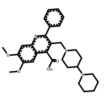 COc1cc2nc(-c3ccccc3)c(CN3CCC(N4CCCCC4)CC3)c(C(=O)O)c2cc1OC